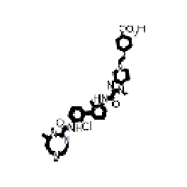 Cc1c(NC(=O)c2nc3c(n2C)CCN(CC[C@H]2CC[C@H](C(=O)O)CC2)C3)cccc1-c1cccc(NC(=O)/C2=N/CCN(C)CCC(C)N2C)c1Cl